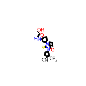 N#Cc1ccc(N2C(=O)C3(CCC3)N(c3ccc4c(c3)NC[C@@H](CO)O4)C2=S)cc1C(F)(F)F